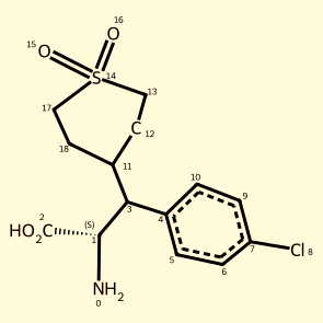 N[C@H](C(=O)O)C(c1ccc(Cl)cc1)C1CCS(=O)(=O)CC1